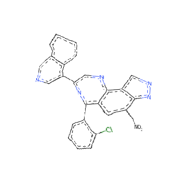 O=[N+]([O-])c1cc2c(-c3ccccc3Cl)nc(-c3cncc4ccccc34)cnc2c2cnnc12